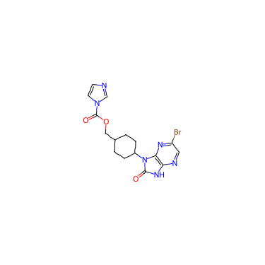 O=C(OCC1CCC(n2c(=O)[nH]c3ncc(Br)nc32)CC1)n1ccnc1